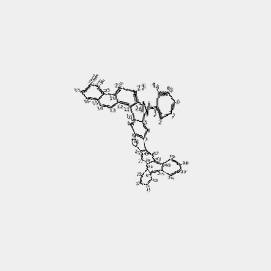 c1ccc(-n2c3cc4c(cc3c3c5ccc6ccccc6c5ccc32)oc2cc3c5ccccc5c5ccccc5c3cc24)cc1